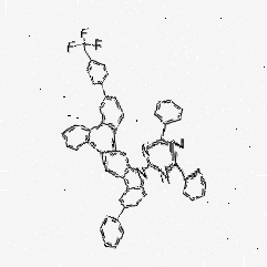 FC(F)(F)c1ccc(-c2ccc3c(c2)c2ccccc2c2cc4c5cc(-c6ccccc6)ccc5n(-c5nc(-c6ccccc6)nc(-c6ccccc6)n5)c4cc32)cc1